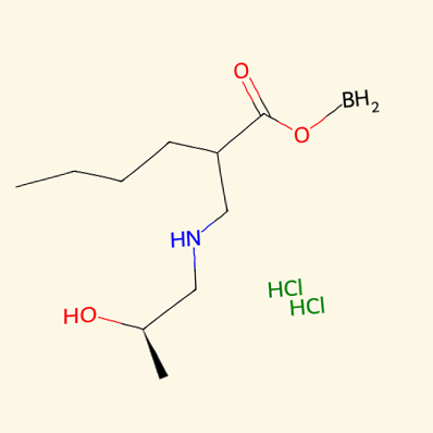 BOC(=O)C(CCCC)CNC[C@@H](C)O.Cl.Cl